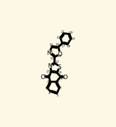 O=C1c2ccccc2C(=O)c2sc(-c3ncc(-c4ccccc4)o3)nc21